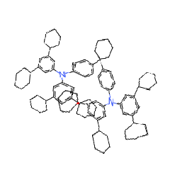 c1c(C2CCCCC2)cc(N(c2ccc(C3(c4ccc(N(c5cc(C6CCCCC6)cc(C6CCCCC6)c5)c5cc(C6CCCCC6)cc(C6CCCCC6)c5)cc4)CCCCC3)cc2)c2cc(C3CCCCC3)cc(C3CCCCC3)c2)cc1C1CCCCC1